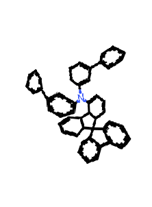 C1=CC2C3C(N(C4=CC(c5ccccc5)=CCC4)c4cccc(-c5ccccc5)c4)=CC=CC3C3(c4ccccc4-c4ccccc43)C2C=C1